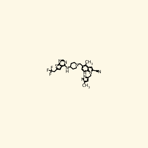 Cc1cc(Cn2c(C#N)cc3c(C)c(CN4CCC(Nc5ncnc6sc(CC(F)(F)F)cc56)CC4)ccc32)[nH]n1